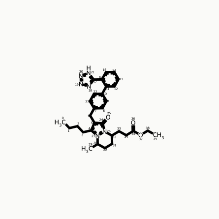 CCCCc1c(Cc2ccc(-c3ccccc3-c3nnn[nH]3)cc2)c(=O)n2n1C(C)CCC2CCC(=O)OCC